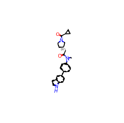 CN(C(=O)C[C@@H]1CCN(C(=O)C2CC2)C1)c1ccc(-c2ccc3[nH]ccc3c2)cc1